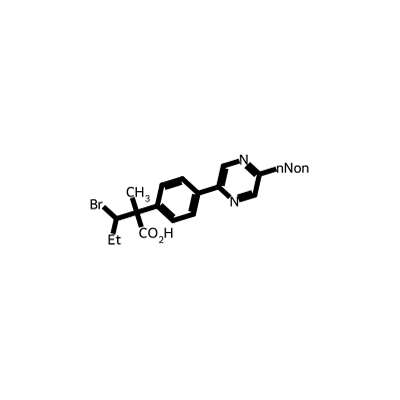 CCCCCCCCCc1cnc(-c2ccc(C(C)(C(=O)O)C(Br)CC)cc2)cn1